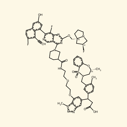 C#Cc1c(F)ccc2cc(O)cc(-c3ncc4c(N5CCCC(C(=O)NCCOCCOc6cc(C(CC(=O)O)c7ccc(C)c(CN8C[C@@H](C)Oc9ccccc9S8(=O)=O)c7)cc7nnn(C)c67)C5)nc(OC[C@]56CCCN5C[C@@H](F)C6)nc4c3F)c12